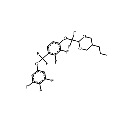 CCCC1COC(C(F)(F)Oc2ccc(C(F)(F)Oc3cc(F)c(F)c(F)c3)c(F)c2F)OC1